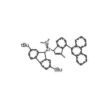 CC1=C[CH]([Zr]([CH]2c3cc(C(C)(C)C)ccc3-c3ccc(C(C)(C)C)cc32)=[Si](C)C)c2cccc(-c3cc4ccccc4c4ccccc34)c21